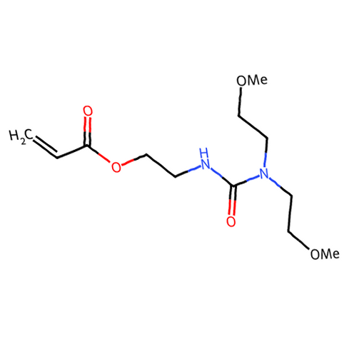 C=CC(=O)OCCNC(=O)N(CCOC)CCOC